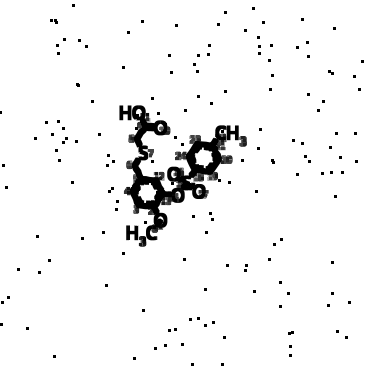 COc1ccc(CSCC(=O)O)cc1OS(=O)(=O)c1ccc(C)cc1